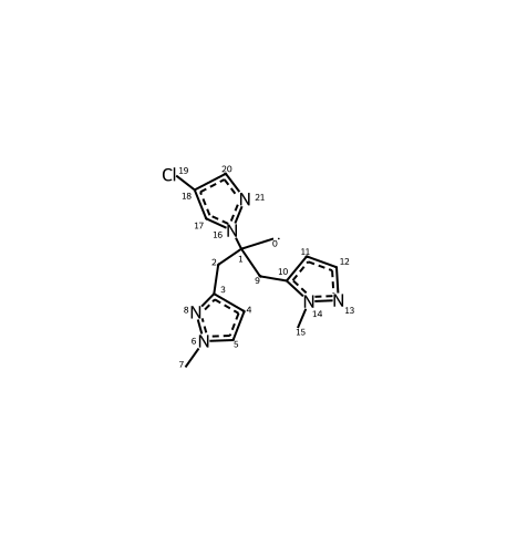 [CH2]C(Cc1ccn(C)n1)(Cc1ccnn1C)n1cc(Cl)cn1